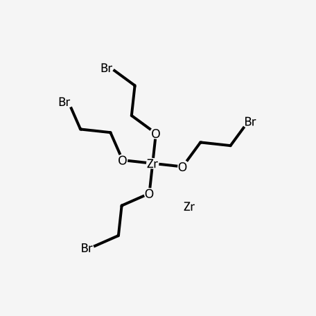 BrCC[O][Zr]([O]CCBr)([O]CCBr)[O]CCBr.[Zr]